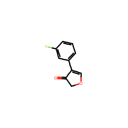 O=C1COC=C1c1cccc(F)c1